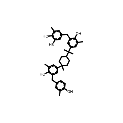 Cc1cc(Cc2cc(C3(C)CCC(C(C)(C)c4cc(C)c(O)c(Cc5cc(C)c(O)c(S)c5)c4)CC3)cc(C)c2O)ccc1O